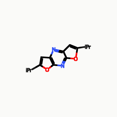 CC(C)c1cc2nc3cc(C(C)C)oc3nc2o1